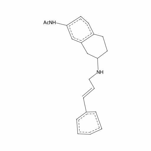 CC(=O)Nc1ccc2c(c1)CC(NC/C=C/c1ccccc1)CC2